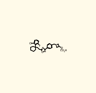 O=C(O)OC1CN(Cc2ccc(-c3noc(CCC4(c5c(F)cccc5Cl)CCCCC4)n3)cc2)C1